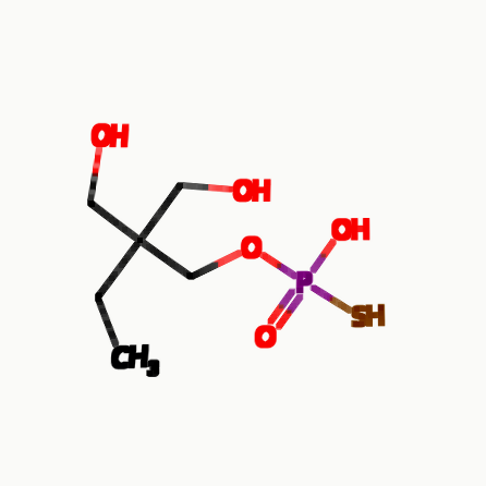 CCC(CO)(CO)COP(=O)(O)S